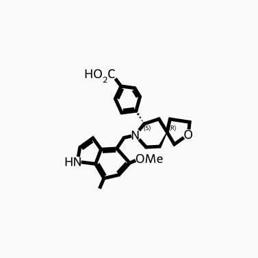 COc1cc(C)c2[nH]ccc2c1CN1CC[C@]2(CCOC2)C[C@H]1c1ccc(C(=O)O)cc1